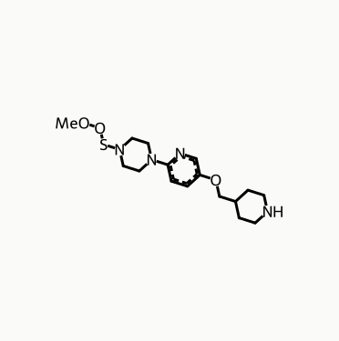 COOSN1CCN(c2ccc(OCC3CCNCC3)cn2)CC1